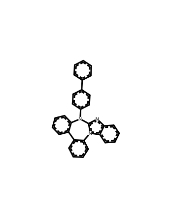 c1ccc(-c2ccc(N3c4ccccc4-c4ccccc4-n4c3nc3ccccc34)cc2)cc1